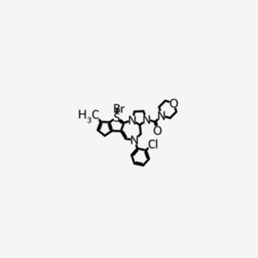 CC1=CCC2=C1S(Br)=C1C2=CN(c2ccccc2Cl)CC2N(C(=O)N3CCOCC3)CCN12